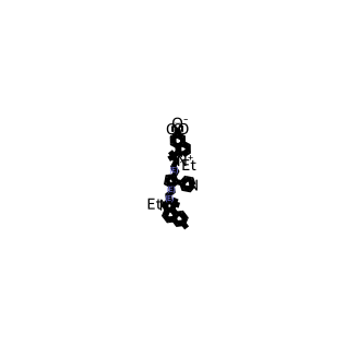 CCN1/C(=C/C=C2\CCC(/C=C/C3=[N+](CC)c4ccc5cc(S(=O)(=O)[O-])ccc5c4C3(C)C)=C2c2ccncc2)C(C)(C)c2c1ccc1cc(C)ccc21